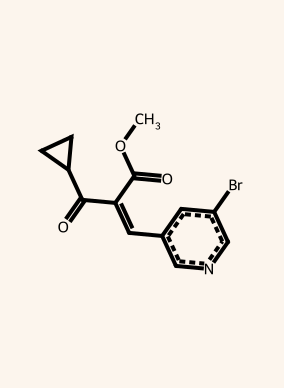 COC(=O)C(=Cc1cncc(Br)c1)C(=O)C1CC1